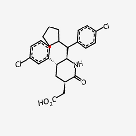 O=C(O)C[C@H]1C[C@H](c2cccc(Cl)c2)[C@@H](C(c2ccc(Cl)cc2)C2CCCC2)NC1=O